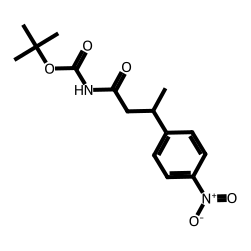 CC(CC(=O)NC(=O)OC(C)(C)C)c1ccc([N+](=O)[O-])cc1